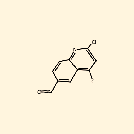 O=Cc1ccc2nc(Cl)cc(Cl)c2c1